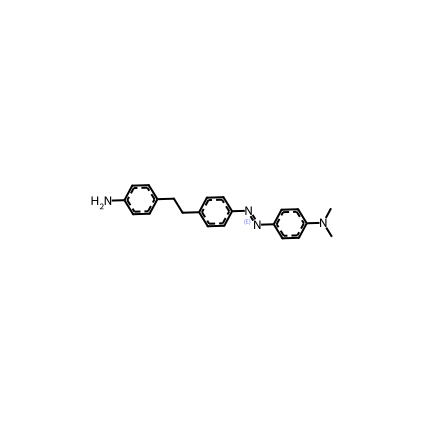 CN(C)c1ccc(/N=N/c2ccc(CCc3ccc(N)cc3)cc2)cc1